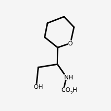 O=C(O)NC(CO)C1CCCCO1